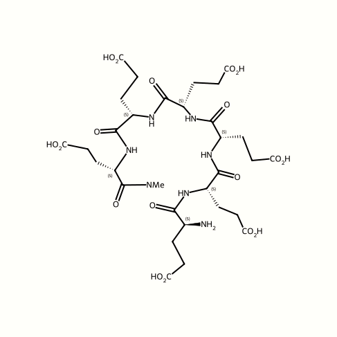 CNC(=O)[C@H](CCC(=O)O)NC(=O)[C@H](CCC(=O)O)NC(=O)[C@H](CCC(=O)O)NC(=O)[C@H](CCC(=O)O)NC(=O)[C@H](CCC(=O)O)NC(=O)[C@@H](N)CCC(=O)O